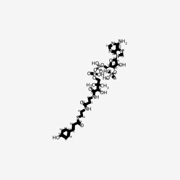 CC(C)(COP(=O)(O)OP(=O)(O)OC[C@H]1O[C@@H](n2cnc3c(N)ncnc32)[C@H](O)[C@@H]1OP(=O)(O)O)C(O)C(=O)NCCC(=O)NCCSC(=O)C=Cc1ccc(O)cc1